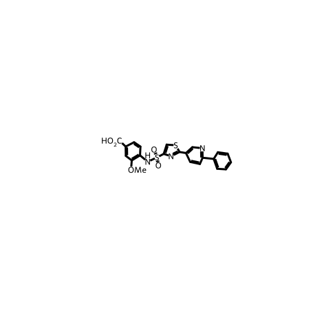 COc1cc(C(=O)O)ccc1NS(=O)(=O)c1csc(-c2ccc(-c3ccccc3)nc2)n1